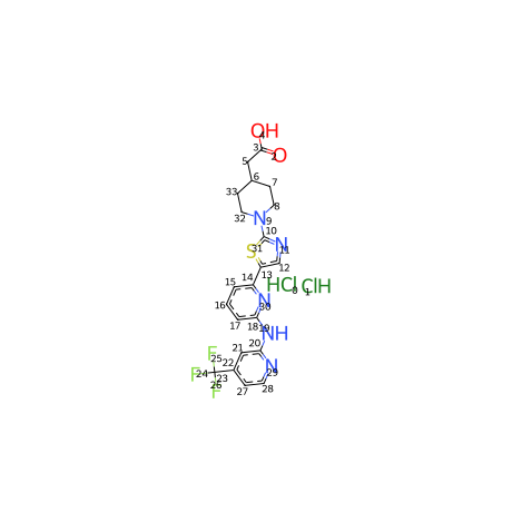 Cl.Cl.O=C(O)CC1CCN(c2ncc(-c3cccc(Nc4cc(C(F)(F)F)ccn4)n3)s2)CC1